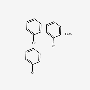 [Fe+3].[O-]c1ccccc1.[O-]c1ccccc1.[O-]c1ccccc1